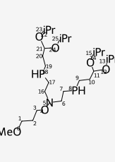 COCCCON(CCPCCC(OC(C)C)OC(C)C)CCPCCC(OC(C)C)OC(C)C